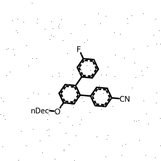 CCCCCCCCCCOc1ccc(-c2cccc(F)c2)c(-c2ccc(C#N)cc2)c1